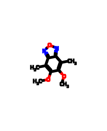 COc1c(OC)c(C)c2nonc2c1C